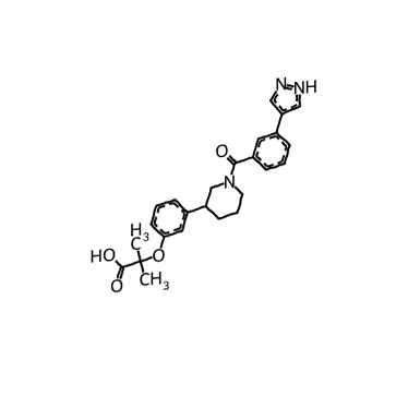 CC(C)(Oc1cccc(C2CCCN(C(=O)c3cccc(-c4cn[nH]c4)c3)C2)c1)C(=O)O